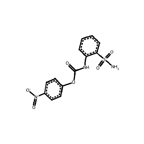 NS(=O)(=O)c1ccccc1NC(=O)Oc1ccc([N+](=O)[O-])cc1